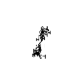 O=[PH](S)O[C@@H]1[C@@H](CO)OC(n2cnc3c(NCC#CCNc4ncnc5c4ncn5[C@@H]4OC(CO)[C@@H](O[PH](=O)S)[C@H]4F)ncnc32)[C@@H]1F